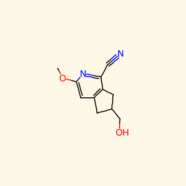 COc1cc2c(c(C#N)n1)CC(CO)C2